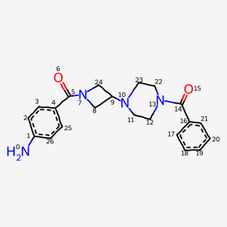 Nc1ccc(C(=O)N2CC(N3CCN(C(=O)c4ccccc4)CC3)C2)cc1